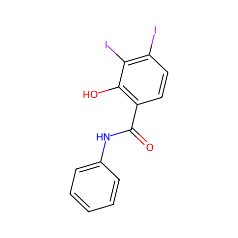 O=C(Nc1ccccc1)c1ccc(I)c(I)c1O